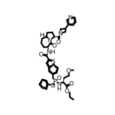 CCCOC(=O)[C@H](CCOC)NP(=O)(Cc1ccc2sc(C(=O)N[C@H]3CCC[C@H]4CC[C@@H](C(=O)N5CC(c6cccnc6)C5)N4C3=O)cc2c1)Oc1ccccc1